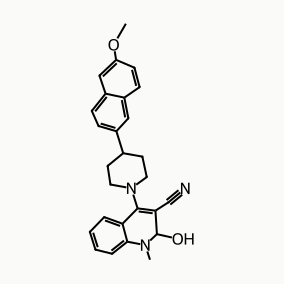 COc1ccc2cc(C3CCN(C4=C(C#N)C(O)N(C)c5ccccc54)CC3)ccc2c1